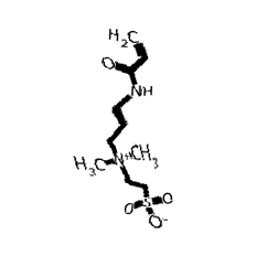 C=CC(=O)NCCC[N+](C)(C)CCS(=O)(=O)[O-]